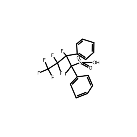 O=S(=O)(O)C(I)(c1ccccc1)C(F)(c1ccccc1)C(F)(F)C(F)(F)F